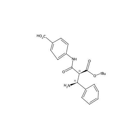 CC(C)(C)OC(=O)[C@H](C(=O)Nc1ccc(C(=O)O)cc1)[C@H](N)c1ccccc1